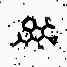 CC(=O)N1c2ccccc2[C@H](NC(N)=S)[C@@H](C)[C@H]1C1CC1